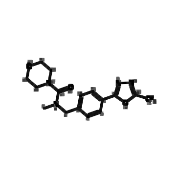 CN(Cc1ccc(-c2nnc(C(F)(F)F)o2)cc1)C(=O)N1CCOCC1